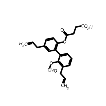 C=CCc1ccc(OC(=O)CCC(=O)O)c(-c2cccc(CC=C)c2OC=O)c1